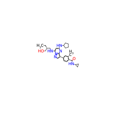 CC[C@H](CO)CNc1cc(NC2CCCC2)nc2c(-c3ccc(C(=O)NC4CC4)c(C)c3)cnn12